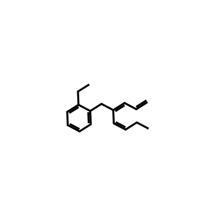 C=C/C=C(\C=C/CC)Cc1ccccc1CC